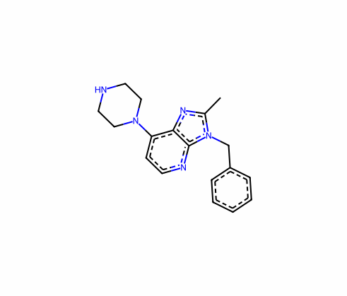 Cc1nc2c(N3CCNCC3)ccnc2n1Cc1ccccc1